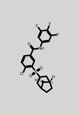 C=C1C2CC[C@H]1CC(S(=O)(=O)c1cc(C(=O)Nc3cc(F)c(F)c(F)c3)ccc1Cl)C2